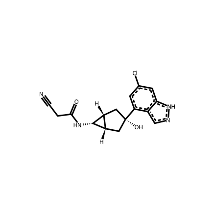 N#CCC(=O)N[C@@H]1[C@@H]2C[C@@](O)(c3cc(Cl)cc4[nH]ncc34)C[C@@H]21